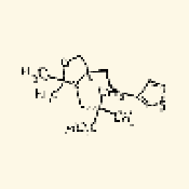 CC(C)(CN1[C@H](CCc2ccsc2)COC1(C)C)C(=O)O